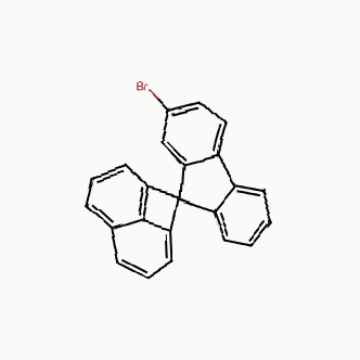 Brc1ccc2c(c1)C1(c3ccccc3-2)c2cccc3cccc1c23